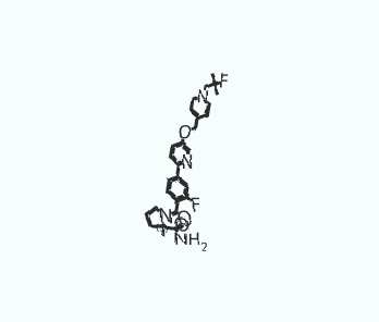 CC(C)(F)CN1C=CC(COc2ccc(-c3ccc(C(=O)N4CCC[C@@]4(C)C(N)=O)c(F)c3)nc2)=CC1